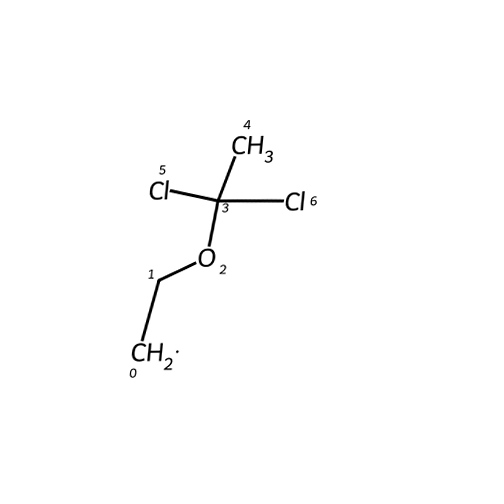 [CH2]COC(C)(Cl)Cl